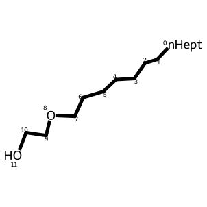 CCCCCCCCCCCCCCOCCO